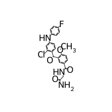 COc1ccc(C(=O)NCC(N)=O)cc1C(=O)c1ccc(Nc2ccc(F)cc2)cc1Cl